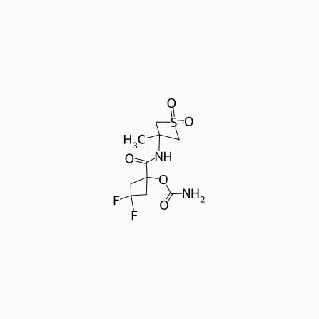 CC1(NC(=O)C2(OC(N)=O)CC(F)(F)C2)CS(=O)(=O)C1